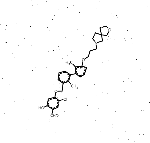 Cc1c(COc2cc(O)c(C=O)cc2Cl)cccc1-c1cccc(OCCCN2CCC3(CCOC3)C2)c1C